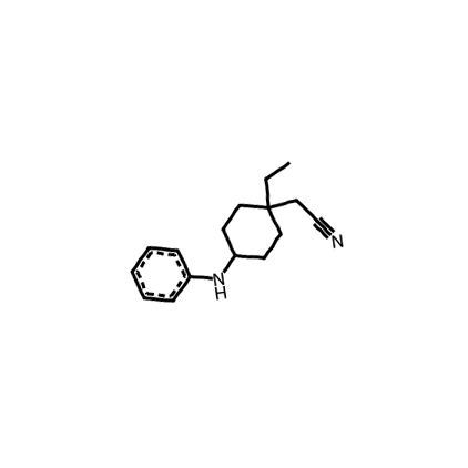 CCC1(CC#N)CCC(Nc2ccccc2)CC1